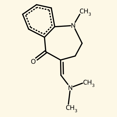 CN(C)/C=C1\CCN(C)c2ccccc2C1=O